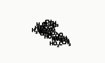 CCC(C)(CC(C)(C)C(=O)O)C(=O)OCC(O)COC(=O)C(C)(C)CC(C)(CC(C)(CC(C)(CC)N(C)C)C(=O)OCC(O)CNC)N(C)C